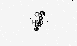 O=C(N[SH]1C=Cc2ccccc2C=N1)c1ccc(-c2ncccc2Cl)cc1